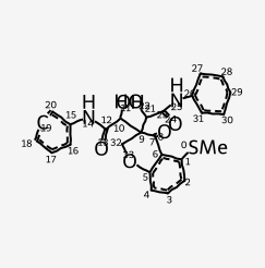 CSc1cccc2c1C(=O)C(C(O)C(=O)Nc1ccccc1)(C(O)C(=O)Nc1ccccc1)CO2